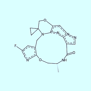 C[C@@H]1COc2ncc(F)cc2CN2c3nc4c(cnn4cc3OCC23CC3)C(=O)N1